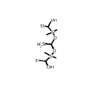 CCC(O)[Si](C)(C)OC([SiH2])O[Si](C)(C)C(O)CC